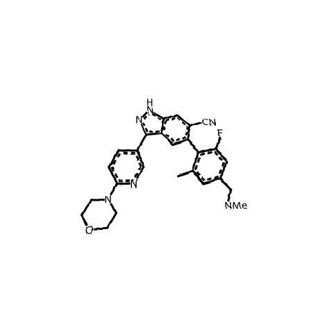 CNCc1cc(C)c(-c2cc3c(-c4ccc(N5CCOCC5)nc4)n[nH]c3cc2C#N)c(F)c1